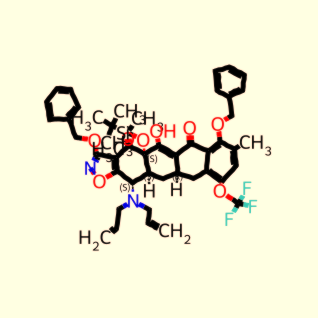 C=CCN(CC=C)[C@@H]1c2onc(OCc3ccccc3)c2C(=O)[C@@]2(O[Si](C)(C)C(C)(C)C)C(O)=C3C(=O)c4c(c(OC(F)(F)F)cc(C)c4OCc4ccccc4)C[C@H]3C[C@@H]12